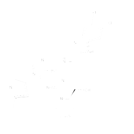 Cn1cc(-n2cnc3c(NCc4nc5cc(Cl)c(Cl)cc5[nH]4)nc(N4CCOC[C@@H]4CO)nc32)cn1